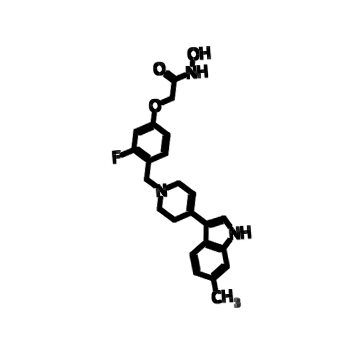 Cc1ccc2c(C3=CCN(Cc4ccc(OCC(=O)NO)cc4F)CC3)c[nH]c2c1